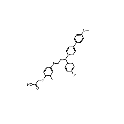 COc1ccc(-c2ccc(C(=CCSc3ccc(OCC(=O)O)c(C)c3)c3ccc(Br)cc3)cc2)cc1